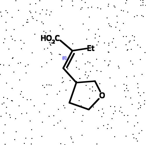 CC/C(=C\C1CCOC1)C(=O)O